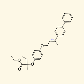 CCOC(=O)C(C)(CC)Oc1ccc(OC/C=C(\C)c2ccc(-c3ccccc3)cc2)cc1